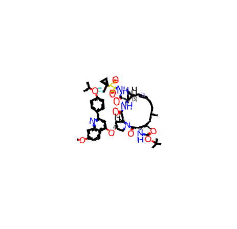 COc1ccc2c(O[C@@H]3C[C@H]4C(=O)N[C@]5(C(=O)NS(=O)(=O)C6(CF)CC6)C[C@H]5/C=C\CCC(C)C[C@@H](C)[C@H](NC(=O)OC(C)(C)C)C(=O)N4C3)cc(-c3ccc(OC(C)C)cc3)nc2c1